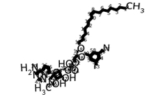 CCCCCCCC/C=C\CCCCCCCCOC[C@H](COP(=O)(O)OC[C@H]1O[C@@](C=NC)(c2ccc3c(N)ncnn23)[C@H](O)[C@@H]1O)OCc1cc(F)cc(C#N)c1